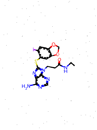 CCNC(=O)CCn1c(Sc2cc3c(cc2I)OCO3)nc2c(N)ncnc21